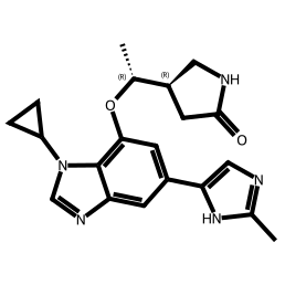 Cc1ncc(-c2cc(O[C@H](C)[C@H]3CNC(=O)C3)c3c(c2)ncn3C2CC2)[nH]1